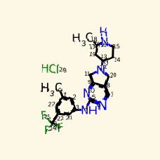 Cc1cc(Nc2ncc3c(n2)CN([C@@H]2CCN[C@H](C)C2)C3)cc(C(F)(F)F)c1.Cl